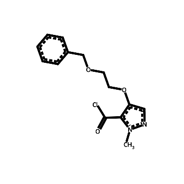 Cn1ncc(OCCOCc2ccccc2)c1C(=O)Cl